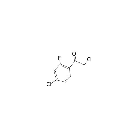 O=C(CCl)c1ccc(Cl)cc1F